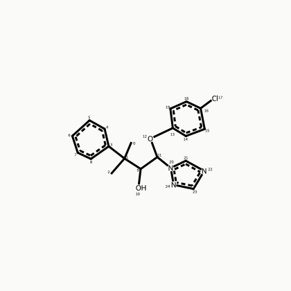 CC(C)(c1ccccc1)C(O)C(Oc1ccc(Cl)cc1)n1cncn1